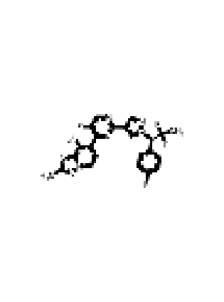 Cc1c(-c2nc(-c3cnn([C@H](c4ccc(F)cc4)C(C)(F)F)c3)ncc2F)ccn2nc(N)nc12